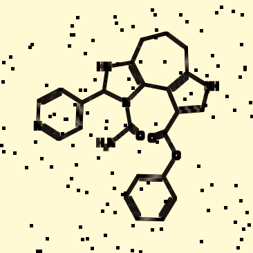 NC(=O)N1C2=C(CCCc3[nH]cc(C(=O)Oc4ccccc4)c32)NC1c1ccncc1